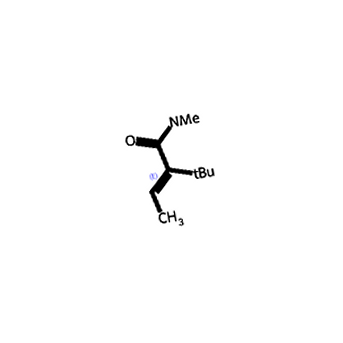 C/C=C(/C(=O)NC)C(C)(C)C